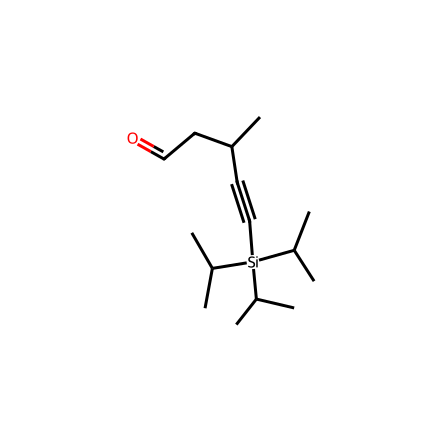 CC(C#C[Si](C(C)C)(C(C)C)C(C)C)CC=O